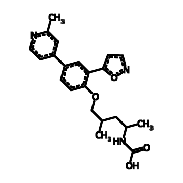 Cc1cc(-c2ccc(OCC(C)CC(C)NC(=O)O)c(-c3ccno3)c2)ccn1